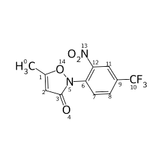 Cc1cc(=O)n(-c2ccc(C(F)(F)F)cc2[N+](=O)[O-])o1